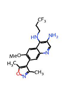 COc1cc2c(NCCC(F)(F)F)c(N)cnc2cc1-c1c(C)noc1C